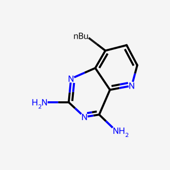 CCCCc1ccnc2c(N)nc(N)nc12